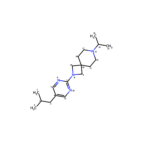 CC(C)Cc1cnc(N2CC3(CCN(C(C)C)CC3)C2)nc1